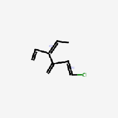 C=C/C(=C/C)C(=C)/C=C/Cl